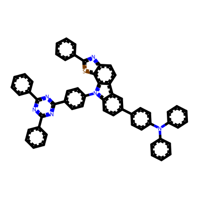 c1ccc(-c2nc(-c3ccccc3)nc(-c3ccc(-n4c5ccc(-c6ccc(N(c7ccccc7)c7ccccc7)cc6)cc5c5ccc6nc(-c7ccccc7)sc6c54)cc3)n2)cc1